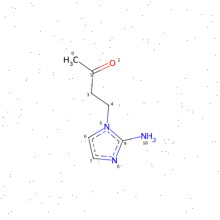 CC(=O)CCn1ccnc1N